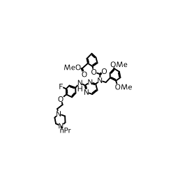 CCCN1CCN(CCOc2ccc(Nc3nccc(N(Cc4cc(OC)ccc4OC)C(=O)Oc4ccccc4C(=O)OC)n3)cc2F)CC1